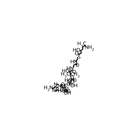 CC(N)CCC(O)CC(=O)SCCNC(=O)CCNC(=O)[C@H](O)C(C)(C)COP(=O)(O)OP(=O)(O)OC[C@H]1O[C@@H](n2cnc3c(N)ncnc32)[C@H](O)[C@@H]1OP(=O)(O)O